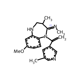 C=C(c1cncc(C)c1)N1/C(=N\C)C(C)CNc2cc(OC)ccc21